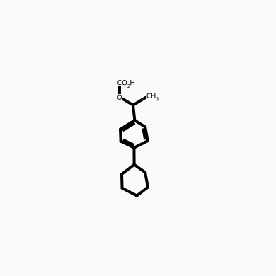 CC(OC(=O)O)c1ccc(C2CCCCC2)cc1